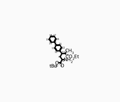 CCOC(=O)C(C)C(CC(N)C(=O)OC(C)(C)C)c1ccc(-c2ccccc2)cc1